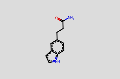 NC(=O)CCc1ccc2[nH]ccc2c1